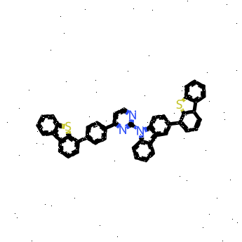 C1=CC2c3ccccc3SC2C(c2ccc3c(c2)c2ccccc2n3-c2nccc(-c3ccc(-c4cccc5c4sc4ccccc45)cc3)n2)=C1